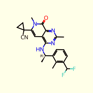 Cc1nc(N[C@H](C)c2cccc(C(F)F)c2C)c2cc(C3(C#N)CC3)n(C)c(=O)c2n1